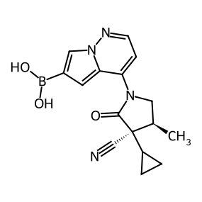 C[C@@H]1CN(c2ccnn3cc(B(O)O)cc23)C(=O)[C@]1(C#N)C1CC1